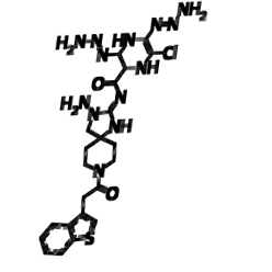 NN=NC1=C(Cl)NC(C(=O)/N=C2/NC3(CCN(C(=O)Cc4csc5ccccc45)CC3)CN2N)C(N=NN)N1